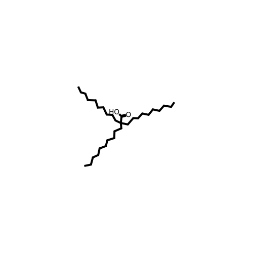 CCCCCCCCCCC(CCCCCCCCCC)(CCCCCCCCCC)C(=O)O